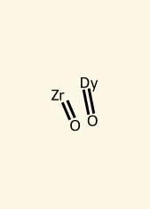 [O]=[Dy].[O]=[Zr]